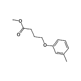 COC(=O)CCCOc1cccc(C)c1